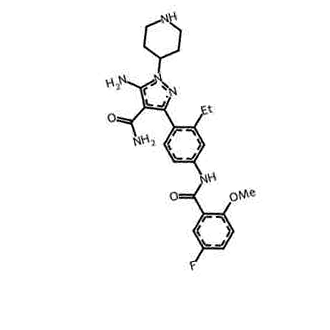 CCc1cc(NC(=O)c2cc(F)ccc2OC)ccc1-c1nn(C2CCNCC2)c(N)c1C(N)=O